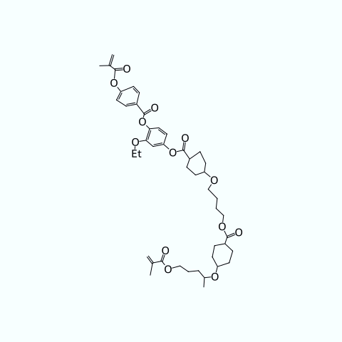 C=C(C)C(=O)OCCCC(C)OC1CCC(C(=O)OCCCCOC2CCC(C(=O)Oc3ccc(OC(=O)c4ccc(OC(=O)C(=C)C)cc4)c(OCC)c3)CC2)CC1